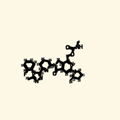 CNC(=O)OCc1nc(N2CCC[C@H]2C)cc2c1CN(c1cccc(-c3nnc(C)n3-c3ccccc3F)n1)C2=O